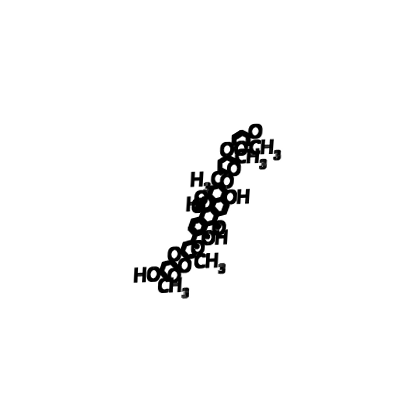 CC1OC(OC2CCC(OC3(C)CC(=O)C4(O)C5=C(C=CC4(O)C3)C(=O)c3c(ccc(C4CC6OC7CC(O)C(C)OC7OC6C(C)O4)c3O)C5=O)OC2C)C=CC1=O